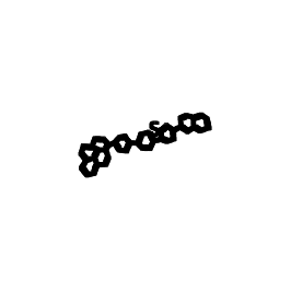 c1ccc2cc(-c3ccc4c(c3)sc3cc(-c5ccc(-c6ccc7ccc8cccc9ccc6c7c89)cc5)ccc34)ccc2c1